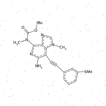 CSc1cccc(C#Cc2c(N)nc(N(C)C(=O)OC(C)(C)C)c3ncn(C)c23)c1